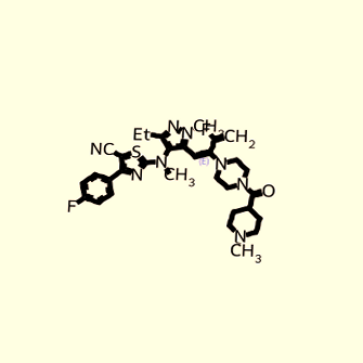 C=C(F)/C(=C\c1c(N(C)c2nc(-c3ccc(F)cc3)c(C#N)s2)c(CC)nn1C)N1CCN(C(=O)C2CCN(C)CC2)CC1